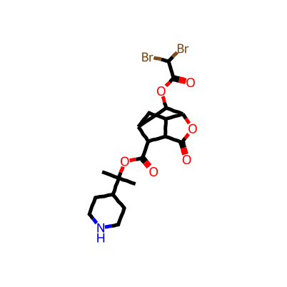 CC(C)(OC(=O)C1C2CC3C(OC(=O)C31)C2OC(=O)C(Br)Br)C1CCNCC1